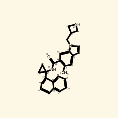 Cc1cc2ccn(CC3CNC3)c2cc1C(=O)NC1(c2cccc3ccccc23)CC1